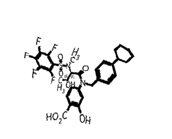 C[C@H](O)[C@H](C(=O)N(Cc1ccc(C2CCCCC2)cc1)c1ccc(C(=O)O)c(O)c1)N(C)S(=O)(=O)c1c(F)c(F)c(F)c(F)c1F